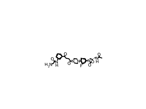 CC(=O)NC[C@H]1CN(c2ccc(N3CCN(C(=O)CCC(=O)c4cccc(NC(=O)CN)c4)CC3)c(F)c2)C(=O)O1